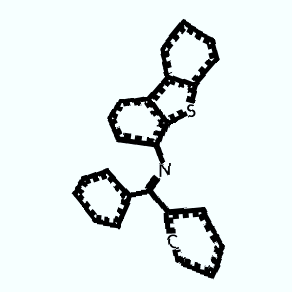 c1ccc(C(=Nc2cccc3c2sc2ccccc23)c2ccccc2)cc1